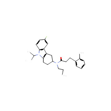 CCC(C(=O)O)n1c2c(c3cc(F)ccc31)CC(N(CCOC)C(=O)CCc1ccccc1OC)CC2